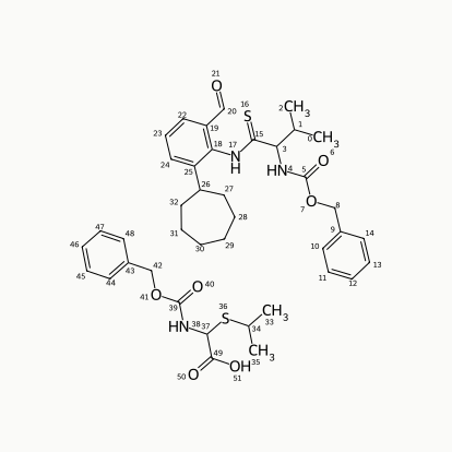 CC(C)C(NC(=O)OCc1ccccc1)C(=S)Nc1c(C=O)cccc1C1CCCCCC1.CC(C)SC(NC(=O)OCc1ccccc1)C(=O)O